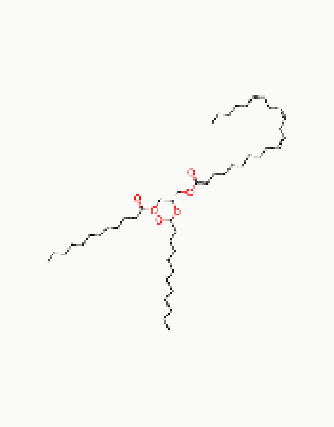 CCCCC/C=C\C/C=C\C/C=C\CCCCCCCCC(=O)OC[C@@H](COC(=O)CCCCCCCCCCC)OC(=O)CCCCCCCCCCC